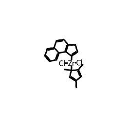 CC1=C[C](C)([Zr]([Cl])([Cl])[C]2=CCc3ccc4ccccc4c32)C(C)=C1